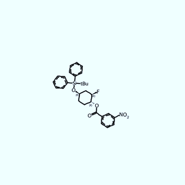 CC(C)(C)[Si](O[C@@H]1CC[C@@H](OC(=O)c2cccc([N+](=O)[O-])c2)[C@H](F)C1)(c1ccccc1)c1ccccc1